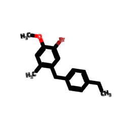 CCc1ccc(Cc2cc(Br)c(OC)cc2C)cc1